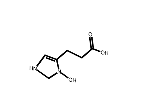 O=C(O)CCC1=CNCN1O